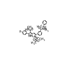 CCN(N1Cn2nc(-c3ccc(F)cc3)c(C(=O)NC)c2C=C1c1cccc(C(=O)NC(C)(C)c2ccccc2)c1)S(C)(=O)=O